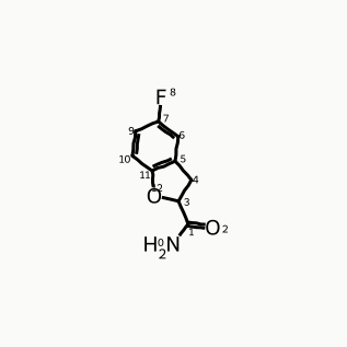 NC(=O)C1Cc2cc(F)ccc2O1